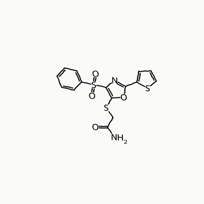 NC(=O)CSc1oc(-c2cccs2)nc1S(=O)(=O)c1ccccc1